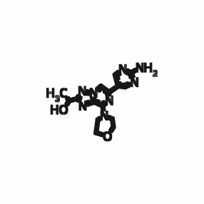 CC(O)c1nc2c(N3CCOCC3)nc(-c3cnc(N)nc3)cn2n1